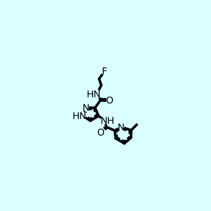 Cc1cccc(C(=O)Nc2c[nH]nc2C(=O)NCCF)n1